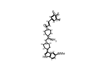 CNc1ccc2[nH]cc(C3CCN(CC(N)C4CCN(C(=O)/C=C/c5cc(F)c(F)c(F)c5)CC4)CC3)c2c1